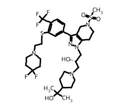 CC(C)(O)C1CCN(C[C@H](O)Cn2nc(-c3ccc(C(F)(F)F)c(SCCN4CCC(F)(F)CC4)c3)c3c2CCN(S(C)(=O)=O)C3)CC1